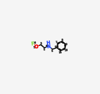 FOCCNCc1ccccc1